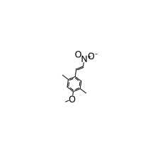 COc1cc(C)c(/C=C/[N+](=O)[O-])cc1C